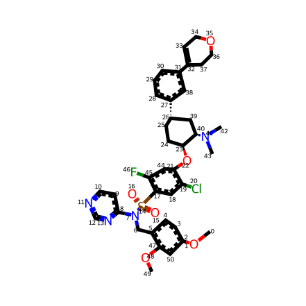 COc1ccc(CN(c2ccncn2)S(=O)(=O)c2cc(Cl)c(O[C@H]3CC[C@H](c4cccc(C5=CCOCC5)c4)C[C@@H]3N(C)C)cc2F)c(OC)c1